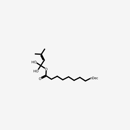 CCCCCCCCCCCCCCCCCC(=O)OC(O)(O)C=C(C)C